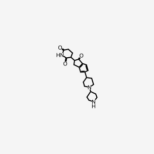 O=C1CCC(C2Cc3cc(C4CCN(C5CCNCC5)CC4)ccc3C2=O)C(=O)N1